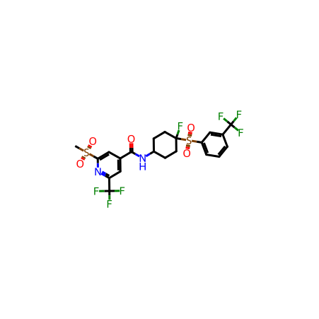 CS(=O)(=O)c1cc(C(=O)NC2CCC(F)(S(=O)(=O)c3cccc(C(F)(F)F)c3)CC2)cc(C(F)(F)F)n1